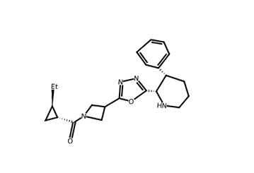 CC[C@@H]1C[C@H]1C(=O)N1CC(c2nnc([C@H]3NCCC[C@H]3c3ccccc3)o2)C1